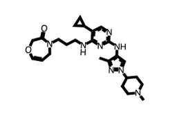 Cc1nn(C2CCN(C)CC2)cc1Nc1ncc(C2CC2)c(NCCCN2CC=COCC2=O)n1